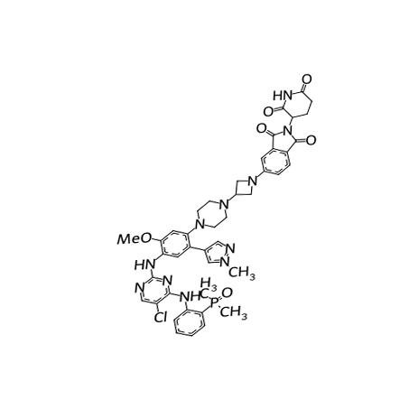 COc1cc(N2CCN(C3CN(c4ccc5c(c4)C(=O)N(C4CCC(=O)NC4=O)C5=O)C3)CC2)c(-c2cnn(C)c2)cc1Nc1ncc(Cl)c(Nc2ccccc2P(C)(C)=O)n1